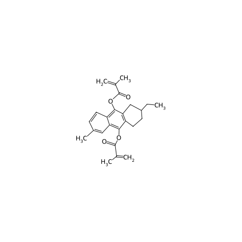 C=C(C)C(=O)Oc1c2c(c(OC(=O)C(=C)C)c3ccc(C)cc13)CC(CC)CC2